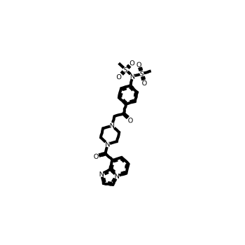 CS(=O)(=O)N(c1ccc(C(=O)CN2CCN(C(=O)c3cccn4ccnc34)CC2)cc1)S(C)(=O)=O